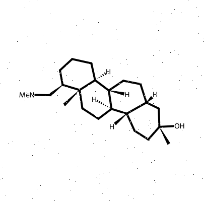 CNC[C@H]1CCC[C@H]2[C@@H]3CC[C@@H]4C[C@](C)(O)CC[C@@H]4[C@H]3CC[C@]12C